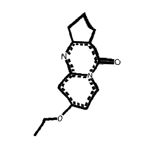 CCOc1ccn2c(=O)c3c(nc2c1)CCC3